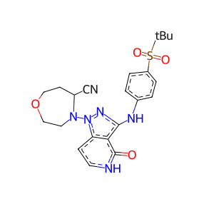 CC(C)(C)S(=O)(=O)c1ccc(Nc2nn(N3CCOCCC3C#N)c3cc[nH]c(=O)c23)cc1